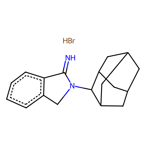 Br.N=C1c2ccccc2CN1C1C2CC3CC(C2)CC1C3